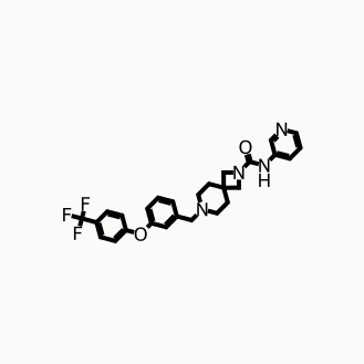 O=C(Nc1cccnc1)N1CC2(CCN(Cc3cccc(Oc4ccc(C(F)(F)F)cc4)c3)CC2)C1